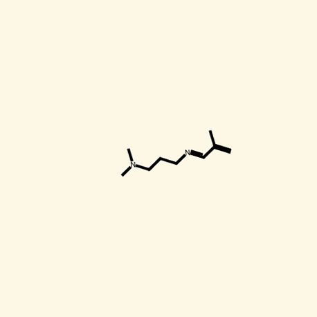 C=C(C)C=NCCCN(C)C